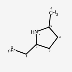 CCCCC1CCC(C)N1